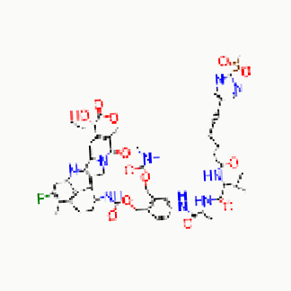 CC[C@@]1(O)C(=O)OCc2c1cc1n(c2=O)Cc2c-1nc1cc(F)c(C)c3c1c2[C@@H](NC(=O)OCc1ccc(NC(=O)[C@H](C)NC(=O)[C@@H](NC(=O)CCCC#Cc2cnc(S(C)(=O)=O)nc2)C(C)C)cc1COC(=O)NC)CC3